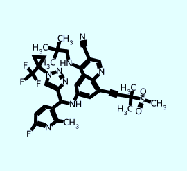 Cc1nc(F)ccc1C(Nc1cc(C#CC(C)(C)S(C)(=O)=O)c2ncc(C#N)c(NCC(C)(C)C)c2c1)c1cn(C2(C(F)(F)F)CC2)nn1